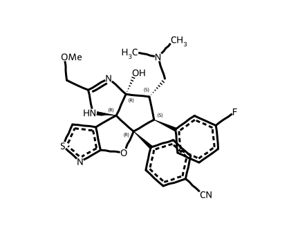 COCC1=N[C@@]2(O)[C@H](CN(C)C)[C@@H](c3cccc(F)c3)[C@]3(c4ccc(C#N)cc4)Oc4nscc4[C@]23N1